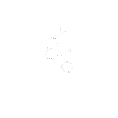 CC1=CC=NC(NC(=O)C2CC2)N1C(C)c1cccc(OCC(F)(F)F)c1